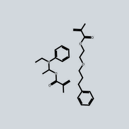 C=C(C)C(=O)OC(C)N(CC)c1ccccc1.C=C(C)C(=O)OCCOCCCc1ccccc1